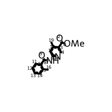 COC(=O)c1cnc(NC(=O)c2ccccc2C)cc1C